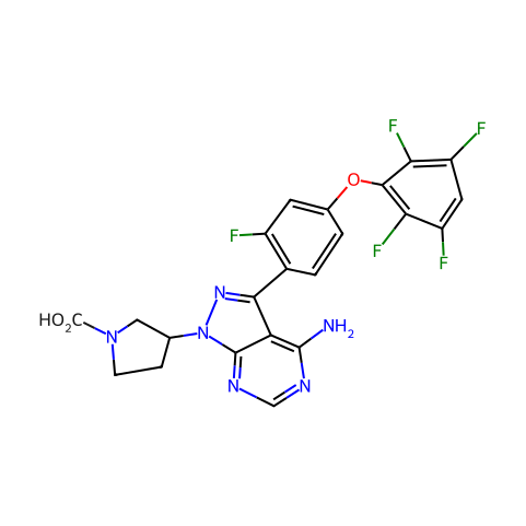 Nc1ncnc2c1c(-c1ccc(Oc3c(F)c(F)cc(F)c3F)cc1F)nn2C1CCN(C(=O)O)C1